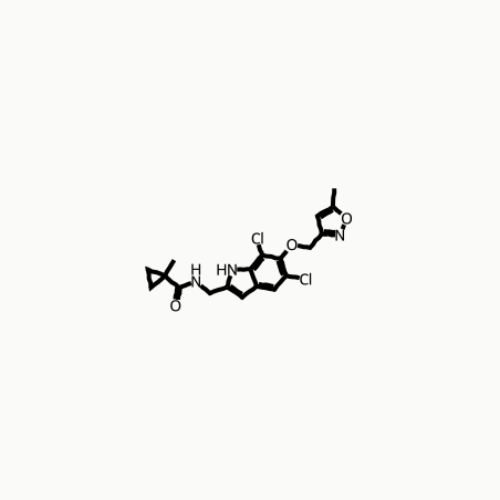 Cc1cc(COc2c(Cl)cc3cc(CNC(=O)C4(C)CC4)[nH]c3c2Cl)no1